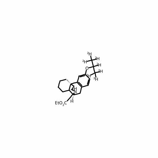 [2H]C([2H])([2H])C([2H])(Oc1ccc2c(c1)[C@]13CCCC[C@@H]1[C@H](C2)N(C(=O)OCC)CC3)C([2H])([2H])[2H]